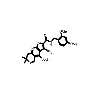 CCOC(=O)c1c2c(nc3sc(C(=O)NCc4ccc(OC)cc4OC)c(N)c13)CC(C)(C)OC2